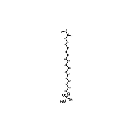 CCC(C)CCCCCCCCCCCCCCCCCOS(=O)(=O)O